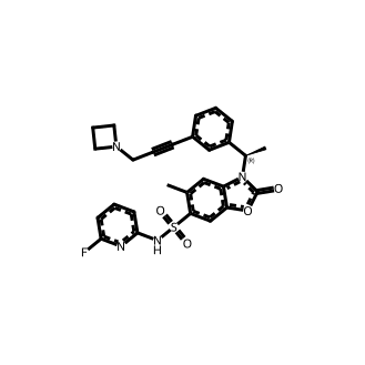 Cc1cc2c(cc1S(=O)(=O)Nc1cccc(F)n1)oc(=O)n2[C@H](C)c1cccc(C#CCN2CCC2)c1